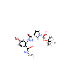 CNC(=O)c1ccc(Br)cc1NC(=O)C1CCN(C(=O)OC(C)(C)C)C1